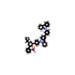 CCC(C)(CC)c1cc(-c2ccccc2)c(OC(C)C)c(-c2ccc(-n3c4ccccc4c4cc(-c5cccc(-n6c7ccccc7c7ccccc76)c5)ccc43)cc2)c1